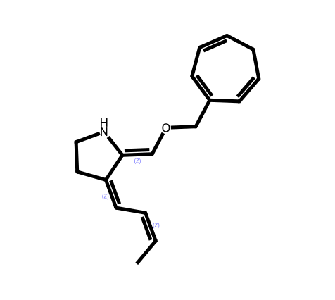 C\C=C/C=C1/CCN/C1=C\OCC1=CC=CCC=C1